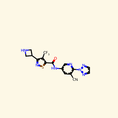 N#Cc1cc(NC(=O)c2snc(C3CNC3)c2C(F)(F)F)cnc1-n1nccn1